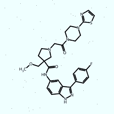 COCC1(C(=O)Nc2ccc3[nH]nc(-c4ccc(F)cc4)c3c2)CCN(CC(=O)N2CCN(c3nccs3)CC2)C1